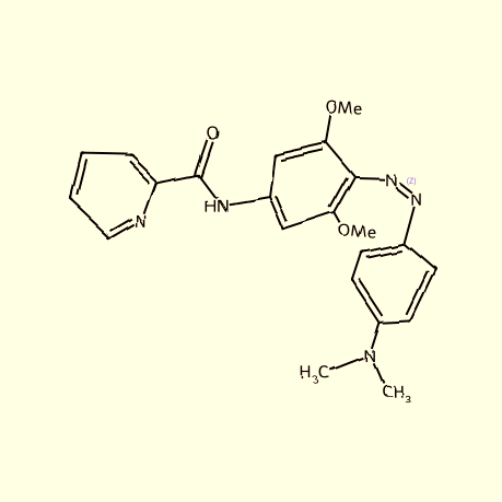 COc1cc(NC(=O)c2ccccn2)cc(OC)c1/N=N\c1ccc(N(C)C)cc1